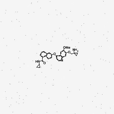 COc1cc2c(Oc3ccc4c(C(=O)NC5CC5)cccc4c3)ccnc2cc1OCC1(N)CC1